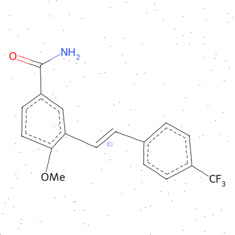 COc1ccc(C(N)=O)cc1/C=C/c1ccc(C(F)(F)F)cc1